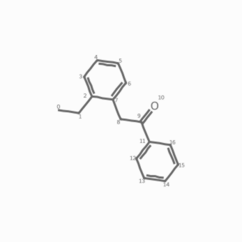 CCc1ccccc1CC(=O)c1ccccc1